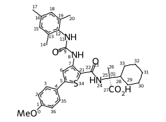 COc1ccc(-c2cc(NC(=O)Nc3c(C)cc(C)cc3C)c(C(=O)N[C@](C)(C(=O)O)C3CCCCC3)s2)cc1